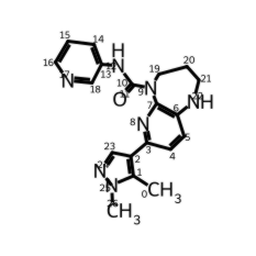 Cc1c(-c2ccc3c(n2)N(C(=O)Nc2cccnc2)CCCN3)cnn1C